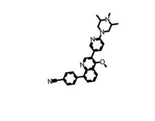 COc1c(-c2ccc(N3CC(C)N(C)C(C)C3)nc2)cnc2c(-c3ccc(C#N)cc3)cccc12